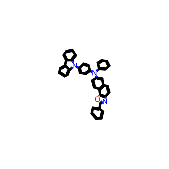 c1ccc(-c2nc3ccc4cc(N(c5ccccc5)c5ccc(-n6c7ccccc7c7ccccc76)cc5)ccc4c3o2)cc1